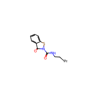 CC(C)CCNC(=O)n1sc2ccccc2c1=O